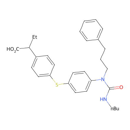 CCCCNC(=O)N(CCCc1ccccc1)c1ccc(Sc2ccc(C(CC)C(=O)O)cc2)cc1